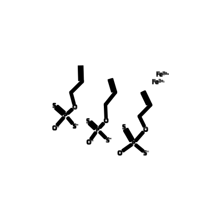 C=CCOP([O-])(=S)[S-].C=CCOP([O-])(=S)[S-].C=CCOP([O-])(=S)[S-].[Fe+3].[Fe+3]